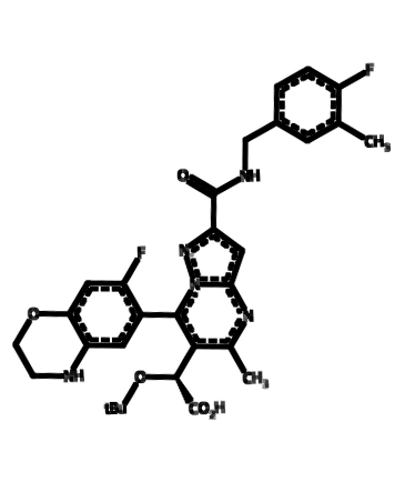 Cc1cc(CNC(=O)c2cc3nc(C)c([C@H](OC(C)(C)C)C(=O)O)c(-c4cc5c(cc4F)OCCN5)n3n2)ccc1F